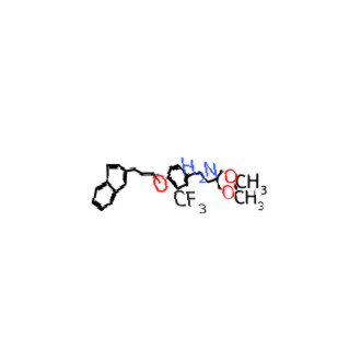 CC1(C)OCC(N)(CCc2ccc(OCCCc3ccc4ccccc4c3)c(C(F)(F)F)c2)CO1